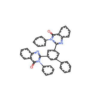 O=c1c2ccccc2nc(-c2cc(-c3ccccc3)cc(-c3nc4ccccc4c(=O)n3-c3ccccc3)c2)n1-c1ccccc1